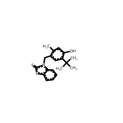 Cc1cc(O)c(C(C)(C)C)cc1Cn1c(=S)sc2ccccc21